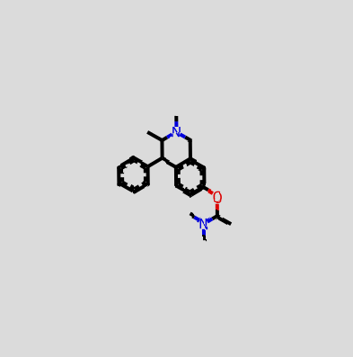 CC(Oc1ccc2c(c1)CN(C)C(C)C2c1ccccc1)N(C)C